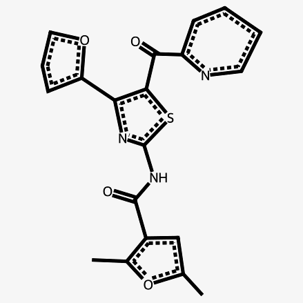 Cc1cc(C(=O)Nc2nc(-c3ccco3)c(C(=O)c3ccccn3)s2)c(C)o1